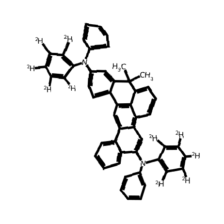 [2H]c1c([2H])c([2H])c(N(c2ccccc2)c2ccc3c(c2)C(C)(C)c2cccc4c2c-3cc2c3ccccc3c(N(c3ccccc3)c3c([2H])c([2H])c([2H])c([2H])c3[2H])cc42)c([2H])c1[2H]